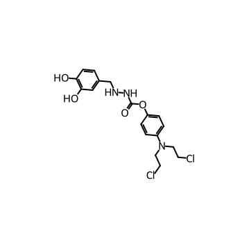 O=C(NNCc1ccc(O)c(O)c1)Oc1ccc(N(CCCl)CCCl)cc1